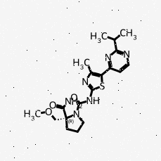 COC[C@@]1(C(N)=O)CCCN1C(=O)Nc1nc(C)c(-c2ccnc(C(C)C)n2)s1